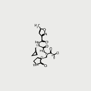 Cc1cc(C(=O)N[C@@H](CC2CC2)C(=O)NN(C[C@@H]2CCNC2=O)C(=O)[C@H](F)Cl)no1